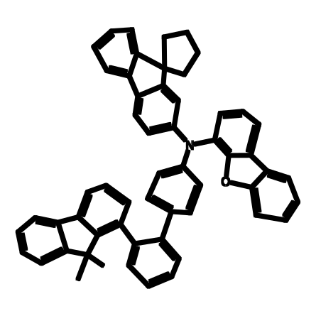 CC1(C)c2ccccc2-c2cccc(-c3ccccc3-c3ccc(N(c4ccc5c(c4)C4(CCCC4)c4ccccc4-5)c4cccc5c4oc4ccccc45)cc3)c21